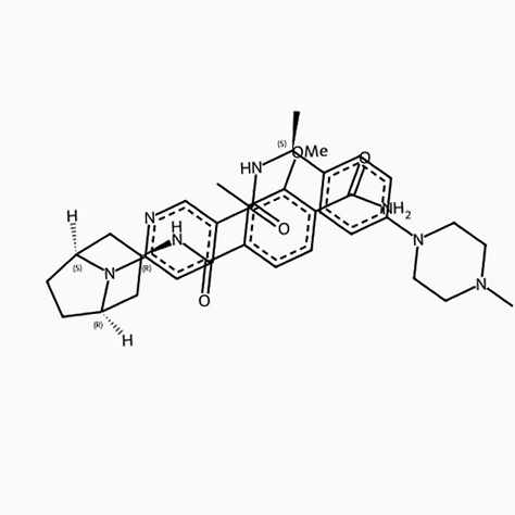 COc1c(C(N)=O)ccc(C(=O)N[C@H]2C[C@H]3CC[C@@H](C2)N3c2ccc(C(=O)N[C@@H](C)c3ccc(N4CCN(C)CC4)cc3)cn2)c1C